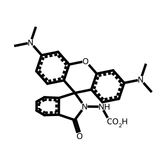 CN(C)c1ccc2c(c1)Oc1cc(N(C)C)ccc1C21c2ccccc2C(=O)N1NC(=O)O